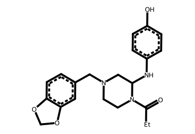 CCC(=O)N1CCN(Cc2ccc3c(c2)OCO3)CC1Nc1ccc(O)cc1